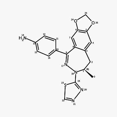 C[C@@H]1Cc2cc3c(cc2C(c2ccc(N)cc2)=NN1c1nncs1)OCO3